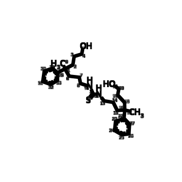 CC(CCCO)(CCCNC(=S)NCCCC(C)(CCCO)c1ccccc1)c1ccccc1